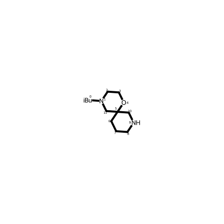 CCC(C)N1CCOC2(CCCNC2)C1